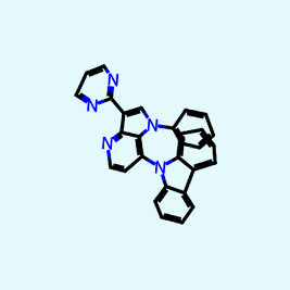 c1ccc(-n2cc(-c3ncccn3)c3nccc(-n4c5ccccc5c5ccccc54)c32)cc1